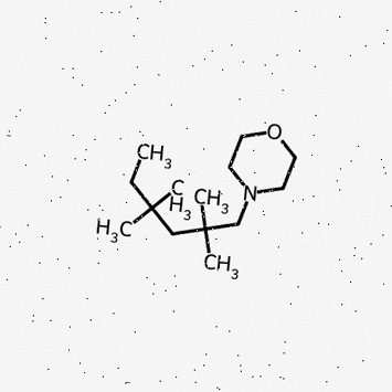 CCC(C)(C)CC(C)(C)CN1CCOCC1